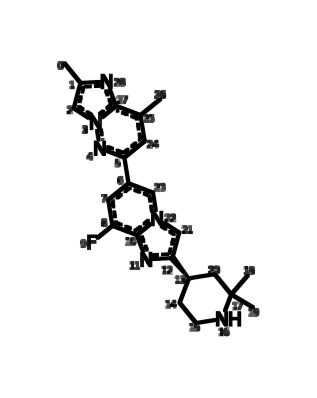 Cc1cn2nc(-c3cc(F)c4nc([C@@H]5CCNC(C)(C)C5)cn4c3)cc(C)c2n1